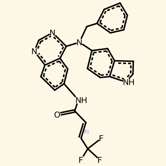 O=C(/C=C/C(F)(F)F)Nc1ccc2ncnc(N(Cc3ccccc3)c3ccc4[nH]ccc4c3)c2c1